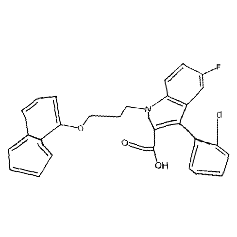 O=C(O)c1c(-c2ccccc2Cl)c2cc(F)ccc2n1CCCOc1cccc2ccccc12